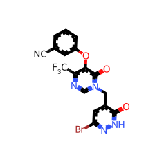 N#Cc1cccc(Oc2c(C(F)(F)F)ncn(Cc3cc(Br)n[nH]c3=O)c2=O)c1